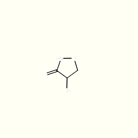 CC(C)C1CONC1=O